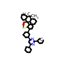 CC1(C)c2ccccc2C2(c3ccccc3Sc3c(-c4cccc(-c5cc(-c6ccccc6)nc(-c6ccccc6)n5)c4)cccc32)c2ccccc21